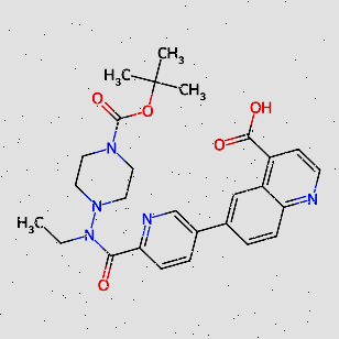 CCN(C(=O)c1ccc(-c2ccc3nccc(C(=O)O)c3c2)cn1)N1CCN(C(=O)OC(C)(C)C)CC1